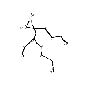 CCCCC(CC)C1(CCCC)OO1